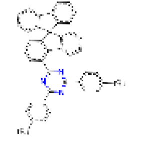 CC(C)(C)c1ccc(-c2nc(-c3ccc(C(C)(C)C)cc3)nc(-c3cccc4c3-c3ccccc3C43c4ccccc4-c4ccccc43)n2)cc1